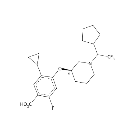 O=C(O)c1cc(C2CC2)c(O[C@@H]2CCCN(C(C3CCCC3)C(F)(F)F)C2)cc1F